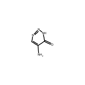 Nc1cnn[nH]c1=O